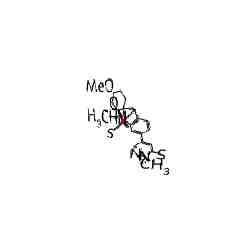 COC1CCC2(CC1)Cc1ccc(-c3cnn(C)c(=S)c3)cc1C21NC(=S)N(C)C1=O